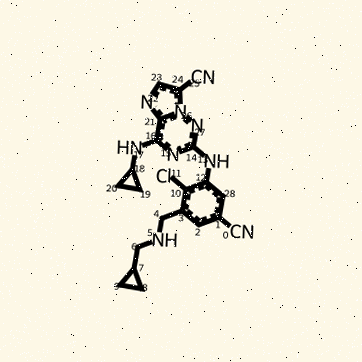 N#Cc1cc(CNCC2CC2)c(Cl)c(Nc2nc(NC3CC3)c3ncc(C#N)n3n2)c1